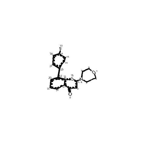 O=c1cc(N2CCOCC2)oc2c(-c3ccc(F)cc3)cccc12